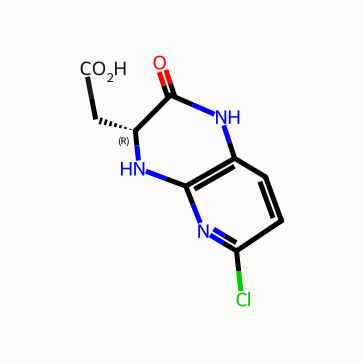 O=C(O)C[C@H]1Nc2nc(Cl)ccc2NC1=O